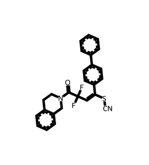 N#CS/C(=C/C(F)(F)C(=O)N1CCc2ccccc2C1)c1ccc(-c2ccccc2)cc1